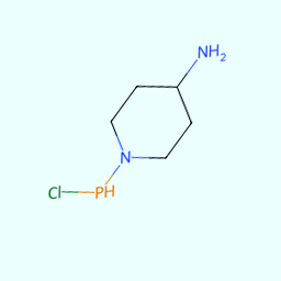 NC1CCN(PCl)CC1